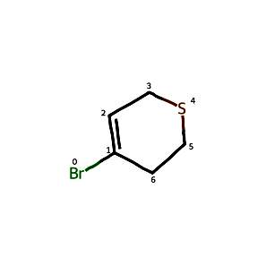 BrC1=CCSCC1